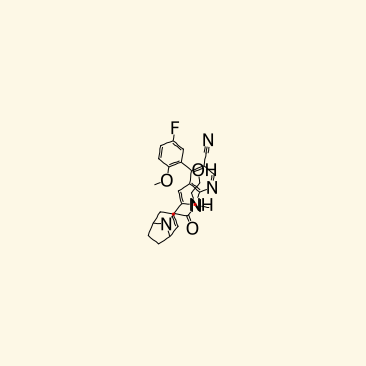 COc1ccc(F)cc1-c1c(C#N)cnc2[nH]c(C3=CC4CCC(C3)N4CC(=O)N(C)CCO)cc12